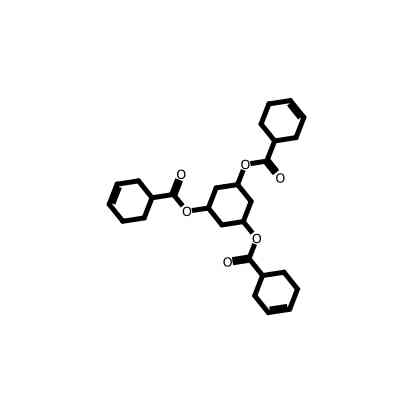 O=C(OC1CC(OC(=O)C2CC=CCC2)CC(OC(=O)C2CC=CCC2)C1)C1CC=CCC1